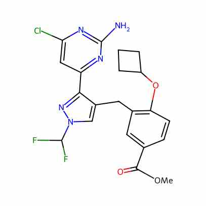 COC(=O)c1ccc(OC2CCC2)c(Cc2cn(C(F)F)nc2-c2cc(Cl)nc(N)n2)c1